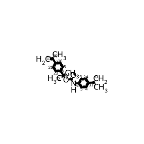 C=C(C)c1ccc(NC(=O)OC(C)(C)c2ccc(C(=C)C)cc2)cc1